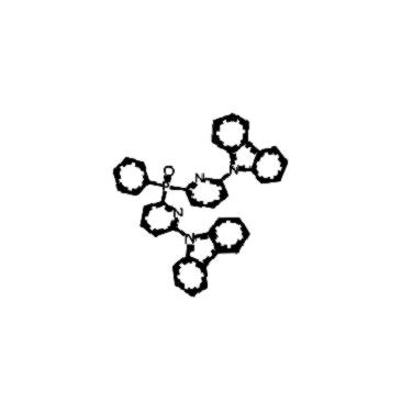 O=P(c1ccccc1)(c1cccc(-n2c3ccccc3c3ccccc32)n1)c1cccc(-n2c3ccccc3c3ccccc32)n1